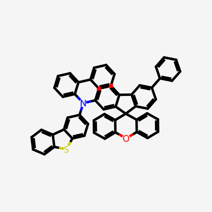 c1ccc(-c2ccc3c(c2)-c2ccc(N(c4ccc5sc6ccccc6c5c4)c4ccccc4-c4ccccc4)cc2C32c3ccccc3Oc3ccccc32)cc1